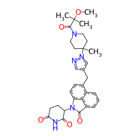 COC(C)(C)C(=O)N1CCC(C)(n2cc(Cc3ccc4c5c(cccc35)C(=O)N4C3CCC(=O)NC3=O)cn2)CC1